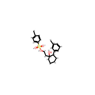 Cc1ccc(S(=O)(=O)OCCC2(O)CCCCC2c2cccc(C)c2)cc1